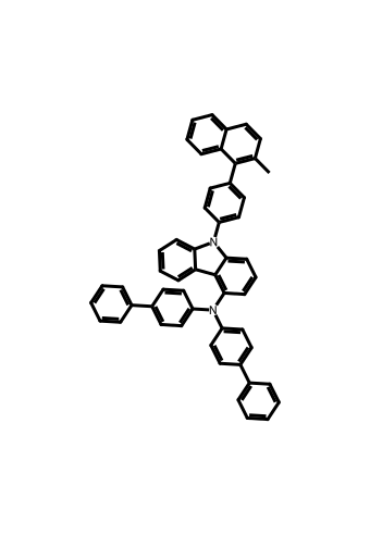 Cc1ccc2ccccc2c1-c1ccc(-n2c3ccccc3c3c(N(c4ccc(-c5ccccc5)cc4)c4ccc(-c5ccccc5)cc4)cccc32)cc1